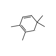 CC1=C(C)C=CC(C)(C)[CH]1